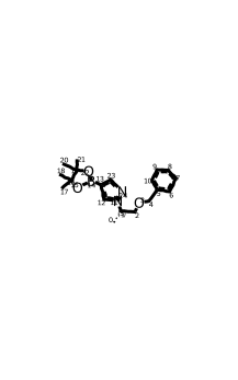 C[C@@H](COCc1ccccc1)n1cc(B2OC(C)(C)C(C)(C)O2)cn1